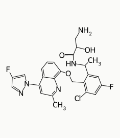 Cc1cc(-n2cc(F)cn2)c2cccc(OCc3c(Cl)cc(F)cc3C(C)NC(=O)C(O)CN)c2n1